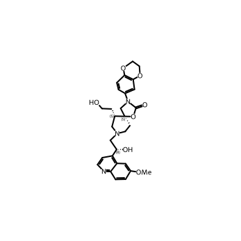 COc1ccc2nccc([C@@H](O)CN3CC[C@@]4(CN(c5ccc6c(c5)OCCO6)C(=O)O4)[C@@H](CCO)C3)c2c1